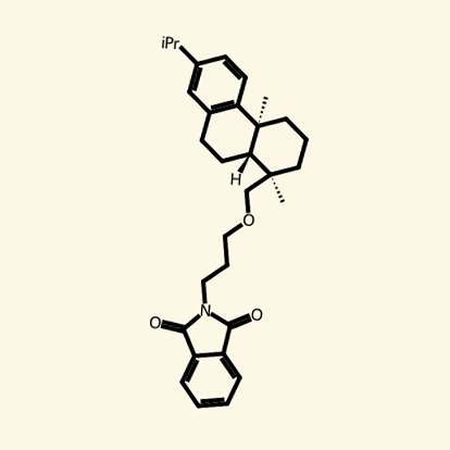 CC(C)c1ccc2c(c1)CC[C@H]1[C@](C)(COCCCN3C(=O)c4ccccc4C3=O)CCC[C@]21C